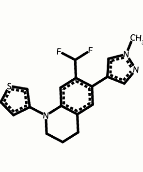 Cn1cc(-c2cc3c(cc2C(F)F)N(c2ccsc2)CCC3)cn1